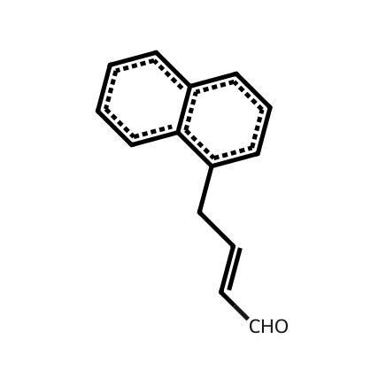 O=CC=CCc1cccc2ccccc12